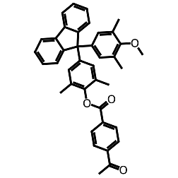 COc1c(C)cc(C2(c3cc(C)c(OC(=O)c4ccc(C(C)=O)cc4)c(C)c3)c3ccccc3-c3ccccc32)cc1C